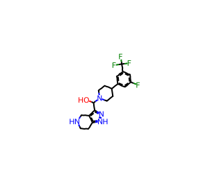 OC(c1n[nH]c2c1CNCC2)N1CCC(c2cc(F)cc(C(F)(F)F)c2)CC1